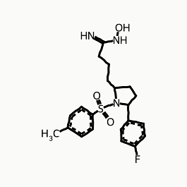 Cc1ccc(S(=O)(=O)N2C(CCCC(=N)NO)CCC2c2ccc(F)cc2)cc1